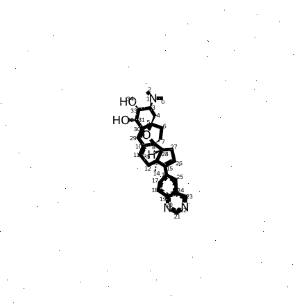 CN(C)[C@H]1C[C@@]23CC[C@@]4(O2)C(=CC[C@]2(C)C(c5ccc6ncncc6c5)=CC[C@H]24)C=C3[C@@H](O)[C@@H]1O